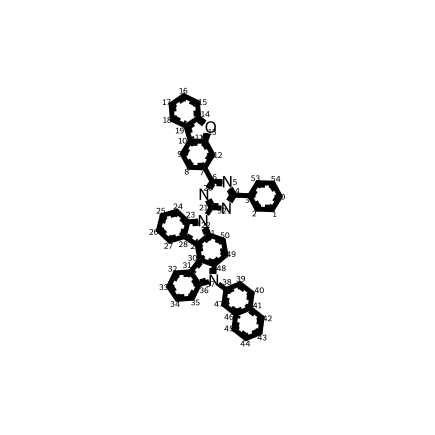 c1ccc(-c2nc(-c3ccc4c(c3)oc3ccccc34)nc(-n3c4ccccc4c4c5c6ccccc6n(-c6ccc7ccccc7c6)c5ccc43)n2)cc1